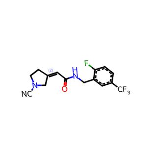 N#CN1CC/C(=C/C(=O)NCc2cc(C(F)(F)F)ccc2F)C1